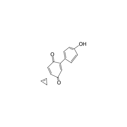 C1=CC1.O=C1C=CC(=O)C(c2ccc(O)cc2)=C1